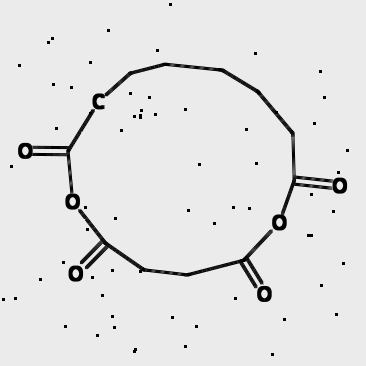 O=C1CCCCCCC(=O)OC(=O)CCC(=O)O1